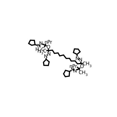 CCCC(C)(N=NC1CCCC1)OC(C)(CCCCCCCCCCC(C)(N=NC1CCCC1)OC(C)(CCC)N=NC1CCCC1)N=NC1CCCC1